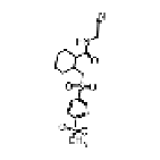 CS(=O)(=O)c1ccc(S(=O)(=O)CC2CCCCC2C(=O)NCC#N)cc1